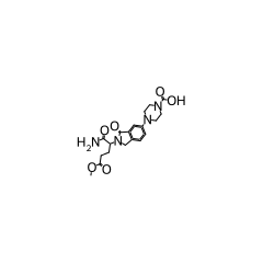 COC(=O)CCC(C(N)=O)N1Cc2ccc(N3CCN(C(=O)O)CC3)cc2C1=O